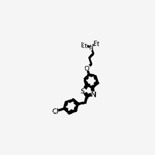 CCN(CC)CCCOc1ccc2nc(Cc3ccc(Cl)cc3)sc2c1